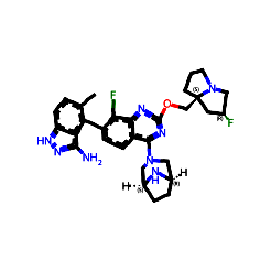 Cc1ccc2[nH]nc(N)c2c1-c1ccc2c(N3C[C@H]4CC[C@@H](C3)N4)nc(OC[C@@]34CCCN3C[C@H](F)C4)nc2c1F